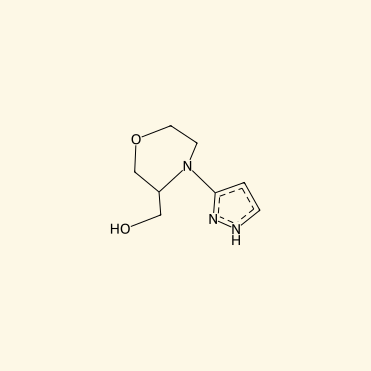 OCC1COCCN1c1cc[nH]n1